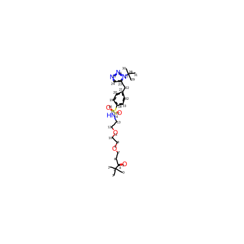 CC(C)(C)C(=O)CCOCCOCCNS(=O)(=O)c1ccc(Cc2cnnn2C(C)(C)C)cc1